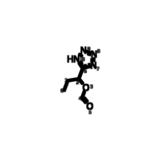 CCC(O[C]=O)c1nnn[nH]1